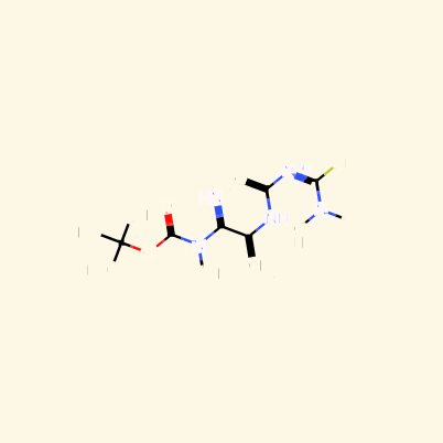 C=C(/N=C(/S)N(C)C)NC(=C)C(=N)N(C)C(=O)OC(C)(C)C